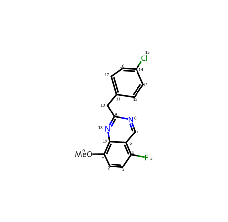 COc1ccc(F)c2cnc(Cc3ccc(Cl)cc3)nc12